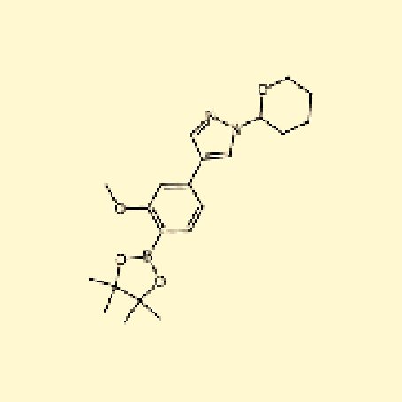 COc1cc(-c2cnn(C3CCCCO3)c2)ccc1B1OC(C)(C)C(C)(C)O1